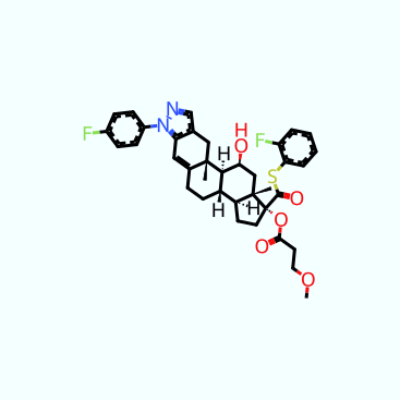 COCCC(=O)O[C@]1(C(=O)Sc2ccccc2F)CC[C@H]2[C@@H]3CCC4=Cc5c(cnn5-c5ccc(F)cc5)C[C@]4(C)[C@H]3[C@@H](O)C[C@@]21C